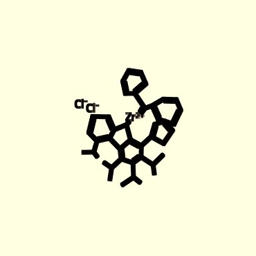 CC(C)c1cccc2c1-c1c(C(C)C)c(C(C)C)c(C(C)C)c(C3=CC=CC3)c1[CH]2[Zr+2]=[C](c1ccccc1)c1ccccc1.[Cl-].[Cl-]